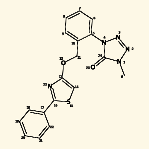 Cn1nnn(-c2ccccc2COc2csc(-c3ccccc3)n2)c1=O